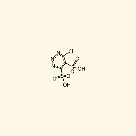 O=S(=O)(O)c1nnnc(Cl)c1S(=O)(=O)O